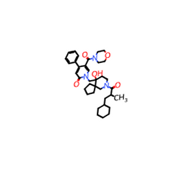 CC(CC1CCCCC1)C(=O)N1CCC(O)(Cn2cc(C(=O)N3CCOCC3)c(-c3ccccc3)cc2=O)C2(CCCC2)C1